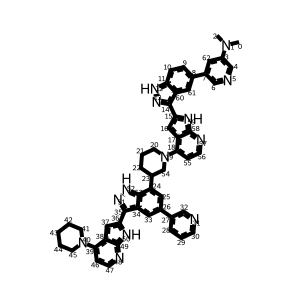 CN(C)c1cncc(-c2ccc3[nH]nc(-c4cc5c(N6CCCC(c7cc(-c8cccnc8)cc8c(-c9cc%10c(N%11CCCCC%11)ccnc%10[nH]9)n[nH]c78)C6)ccnc5[nH]4)c3c2)c1